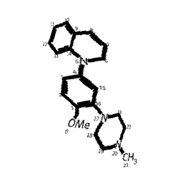 COc1ccc(N2CC=[C]c3ccccc32)cc1N1CCN(C)CC1